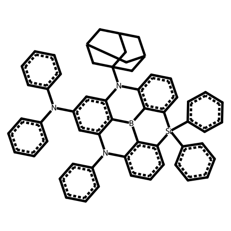 c1ccc(N(c2ccccc2)c2cc3c4c(c2)N(C25CC6CC(CC(C6)C2)C5)c2cccc5c2B4c2c(cccc2[Si]5(c2ccccc2)c2ccccc2)N3c2ccccc2)cc1